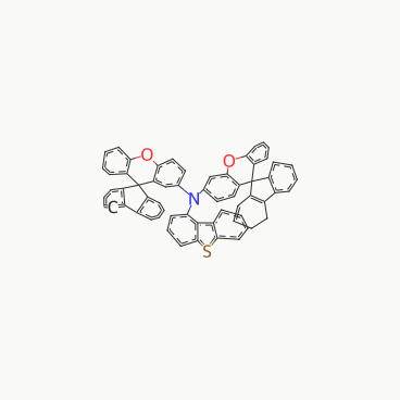 C1=CC2=C(CC1)c1ccccc1C21c2ccccc2Oc2cc(N(c3ccc4c(c3)C3(c5ccccc5O4)c4ccccc4-c4ccccc43)c3cccc4sc5ccccc5c34)ccc21